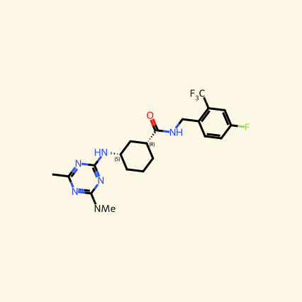 CNc1nc(C)nc(N[C@H]2CCC[C@@H](C(=O)NCc3ccc(F)cc3C(F)(F)F)C2)n1